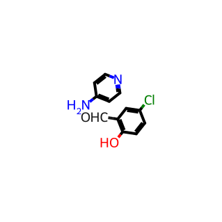 Nc1ccncc1.O=Cc1cc(Cl)ccc1O